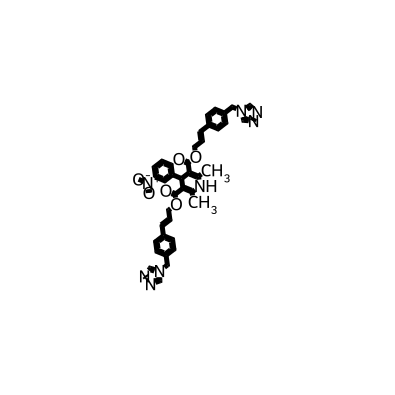 CC1=C(C(=O)OCC=Cc2ccc(Cn3cnnc3)cc2)C(c2cccc([N+](=O)[O-])c2)C(C(=O)OCC=Cc2ccc(Cn3cnnc3)cc2)=C(C)N1